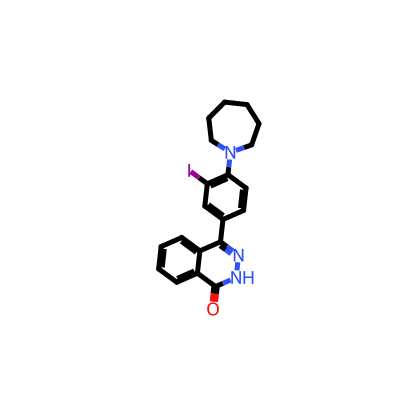 O=c1[nH]nc(-c2ccc(N3CCCCCC3)c(I)c2)c2ccccc12